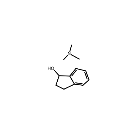 CN(C)C.OC1CCc2ccccc21